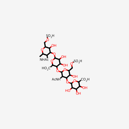 CC(=O)NC1C(C)OC(COS(=O)(=O)O)C(O)C1OC1OC(C(=O)O)C(OC2OC(COS(=O)(=O)O)C(O)C(OC3OC(C(=O)O)C(O)C(O)C3O)C2NC(C)=O)C(O)C1O